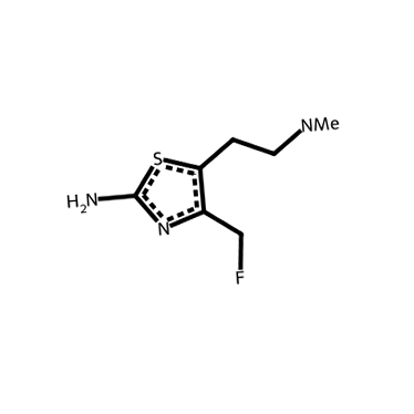 CNCCc1sc(N)nc1CF